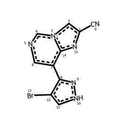 N#Cc1cn2[c]ncc(-c3n[nH]cc3Br)c2n1